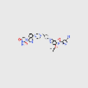 COc1cc2nn([C@H]3CC[C@H](CN4CCCN(c5cccc6c(N7CCC(=O)NC7=O)cncc56)CC4)CC3)cc2cc1NC(=O)c1cncc(C#N)c1